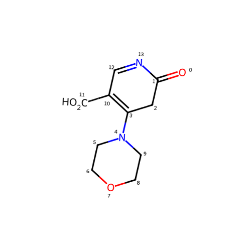 O=C1CC(N2CCOCC2)=C(C(=O)O)C=N1